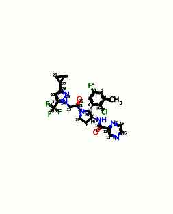 Cc1cc(F)cc([C@@H]2[C@H](NC(=O)c3cnccn3)CCN2C(=O)Cn2nc(C3CC3)cc2C(F)(F)F)c1Cl